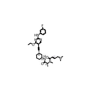 CCOc1nc(Nc2cccc(F)c2)ncc1C#C[C@@H]1CCC[C@H](NC(=O)[C@H](C)N(C)C(=O)/C=C/CN(C)C)C1